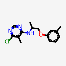 Cc1cccc(OCC(C)Nc2ncnc(Cl)c2C)c1